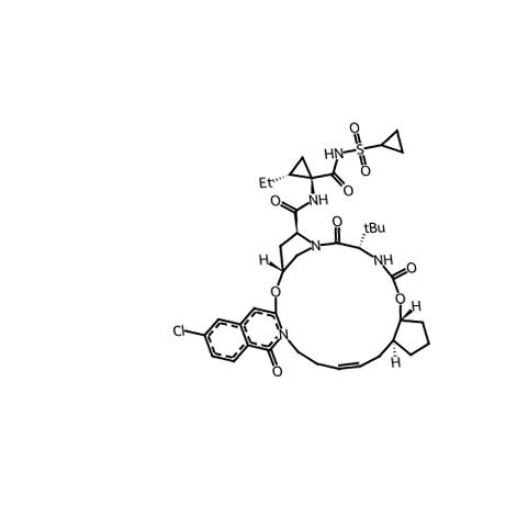 CC[C@@H]1C[C@]1(NC(=O)[C@@H]1C[C@@H]2CN1C(=O)[C@H](C(C)(C)C)NC(=O)O[C@@H]1CCC[C@H]1CC=CCCn1c(cc3cc(Cl)ccc3c1=O)O2)C(=O)NS(=O)(=O)C1CC1